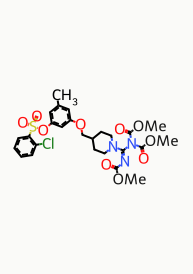 COC(=O)N=C(N1CCC(COc2cc(C)cc(OS(=O)(=O)c3ccccc3Cl)c2)CC1)N(C(=O)OC)C(=O)OC